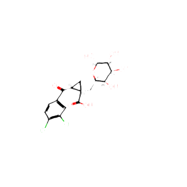 O=C(c1ccc(Cl)c(Cl)c1)[C@H]1C[C@@]1(C[C@H]1O[C@H](O)[C@H](O)[C@@H](O)[C@H]1O)C(=O)O